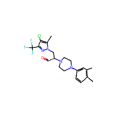 Cc1ccc(N2CCN(C(C=O)Cn3nc(C(F)(F)F)c(Cl)c3C)CC2)cc1C